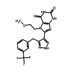 COCCn1c(-c2c[nH]nc2Cc2cccc(C(F)(F)F)c2)nc2[nH]c(=O)[nH]c(=O)c21